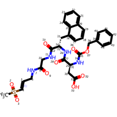 CS(=O)(=O)/C=C/CNC(=O)CNC(=O)[C@H](Cc1cccc2ccccc12)NC(=O)[C@H](CC(=O)O)NC(=O)OCc1ccccc1